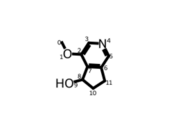 COc1cncc2c1C(O)CC2